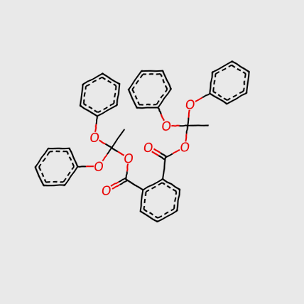 CC(OC(=O)c1ccccc1C(=O)OC(C)(Oc1ccccc1)Oc1ccccc1)(Oc1ccccc1)Oc1ccccc1